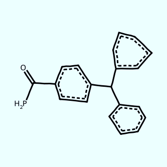 O=C(P)c1ccc(C(c2ccccc2)c2ccccc2)cc1